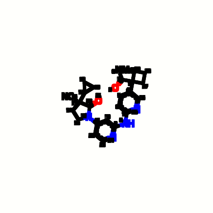 CNC(=O)C1(c2ccc(Nc3cc(N4CC[C@@](C#N)(C5CC5)C4=O)ccn3)nc2)CCC1